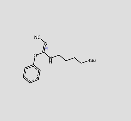 CC(C)(C)CCCCN/C(=N/C#N)Oc1ccccc1